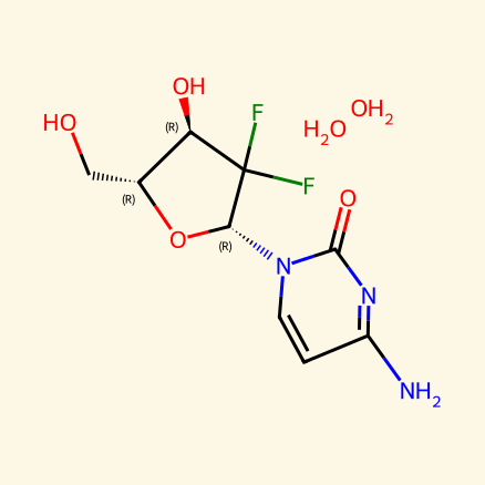 Nc1ccn([C@@H]2O[C@H](CO)[C@@H](O)C2(F)F)c(=O)n1.O.O